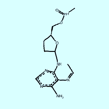 C/C=N\c1c(N)ncnc1NC1CC[C@@H](CO[PH](C)=O)O1